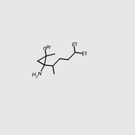 CCCC1(C)CC1(N)C(C)CCC(CC)CC